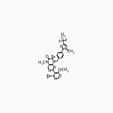 COc1ncnc(C2CC2)c1-c1ncc2c(n1)N(Cc1ccc(-c3nc(C(C)(F)F)cn3C)cc1)C1(CC1)C(=O)N2C